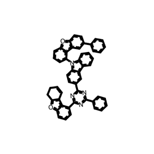 C1=Cc2c(oc3cccc(-c4nc(-c5ccccc5)nc(-c5ccc6c(c5)c5ccccc5n6-c5cccc6oc7ccc(-c8ccccc8)cc7c56)n4)c23)CC1